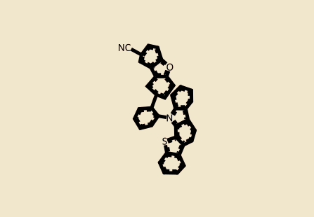 N#Cc1ccc2oc3ccc(-c4ccccc4-n4c5ccccc5c5ccc6c7ccccc7sc6c54)cc3c2c1